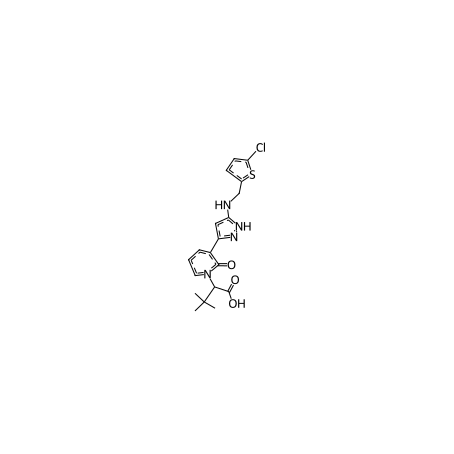 CC(C)(C)C(C(=O)O)n1cccc(-c2cc(NCc3ccc(Cl)s3)[nH]n2)c1=O